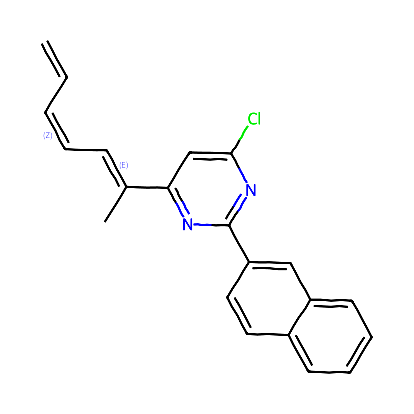 C=C/C=C\C=C(/C)c1cc(Cl)nc(-c2ccc3ccccc3c2)n1